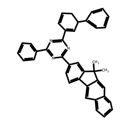 CC1(C)c2cc(-c3nc(C4=CC(c5ccccc5)CC=C4)nc(-c4ccccc4)n3)ccc2-c2cc3ccccc3cc21